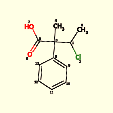 CC(Cl)C(C)(C(=O)O)c1ccccc1